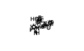 N#Cc1c(F)cccc1NCCCC[C@H](N)C(=O)N1CCSC1.O=C(O)C(F)(F)F